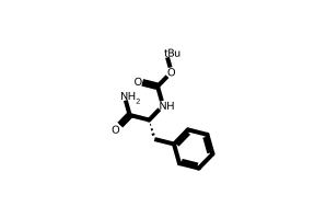 CC(C)(C)OC(=O)N[C@H](Cc1ccccc1)C(N)=O